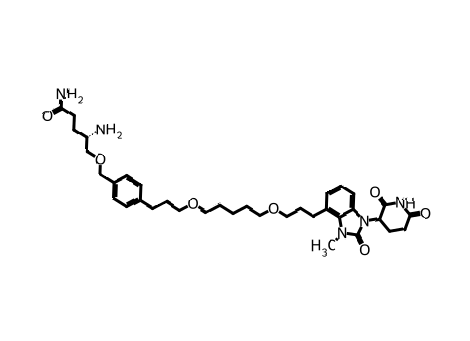 Cn1c(=O)n(C2CCC(=O)NC2=O)c2cccc(CCCOCCCCCOCCCc3ccc(COC[C@@H](N)CCC(N)=O)cc3)c21